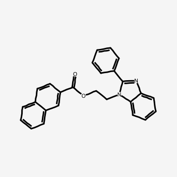 O=C(OCCn1c(-c2ccccc2)nc2ccccc21)c1ccc2ccccc2c1